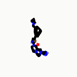 N#CN1CCN2CCN(c3ncc(-c4cccc(CN5CCC5)c4)s3)C(=O)C2C1